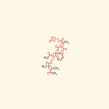 COCCOC(=O)OCC(C)(COC(=O)OCC(C)(COC(C)=O)C(=O)OCCOC(=O)C(C)(COC)COC(C)=O)C(=O)OCC1COC(=O)O1